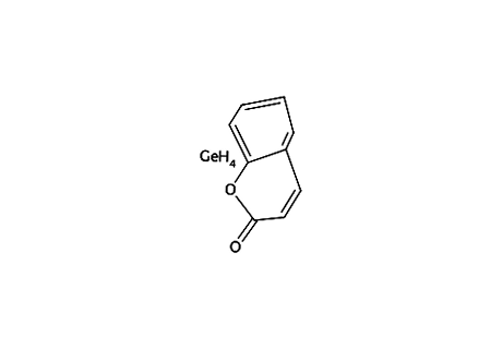 O=c1ccc2ccccc2o1.[GeH4]